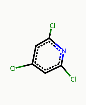 Clc1[c]c(Cl)nc(Cl)c1